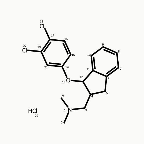 CN(C)CC1Cc2ccccc2C1Oc1ccc(Cl)c(Cl)c1.Cl